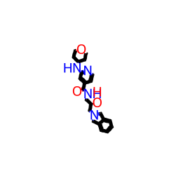 O=C(NC[C@H](O)CN1Cc2ccccc2C1)c1ccnc(NC2CCOCC2)c1